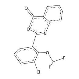 O=c1oc(-c2cccc(Cl)c2OC(F)F)nc2ccccc12